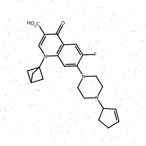 O=C(O)c1cn(C23CC(C2)C3)c2cc(N3CCN(C4C=CCC4)CC3)c(F)cc2c1=O